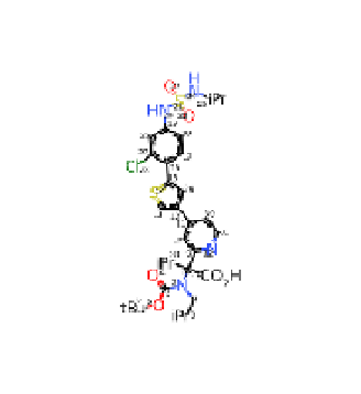 CC(C)CN(C(=O)OC(C)(C)C)[C@@](C(=O)O)(c1cc(-c2csc(-c3ccc(NS(=O)(=O)NC(C)C)cc3Cl)c2)ccn1)C(C)C